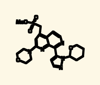 COS(=O)(=O)Cc1cc(N2CCOCC2)nc2c(-c3ccnn3C3CCCCO3)nccc12